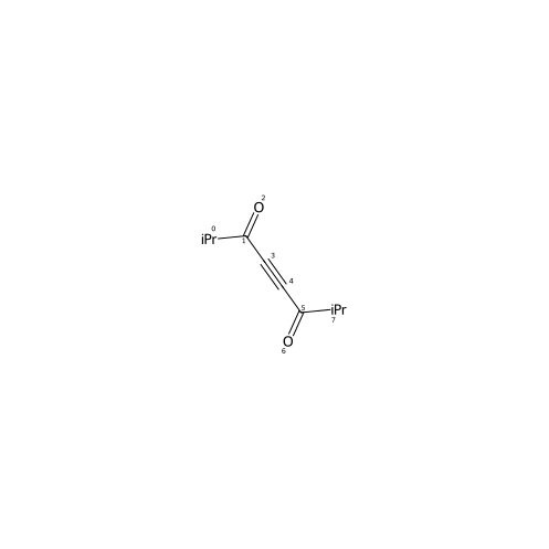 CC(C)C(=O)C#CC(=O)C(C)C